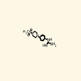 CS(=O)(=O)N1CCN(c2ccc(NC(=N)N)cc2)CC1